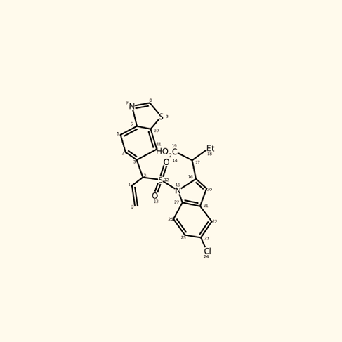 C=CC(c1ccc2ncsc2c1)S(=O)(=O)n1c(C(CC)C(=O)O)cc2cc(Cl)ccc21